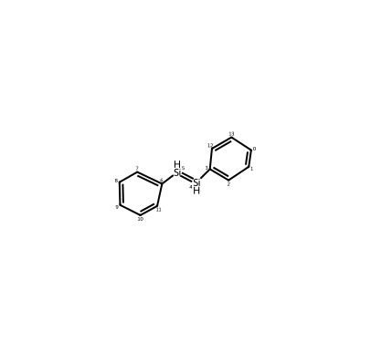 c1ccc([SiH]=[SiH]c2ccccc2)cc1